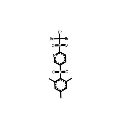 Cc1cc(C)c(S(=O)(=O)c2ccc(S(=O)(=O)C(Br)(Br)Br)nc2)c(C)c1